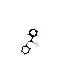 NC(NC1CCCCC1)c1ccccc1